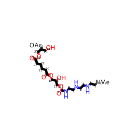 CNCCNCCNCCNC(=O)OCC(O)COC(=O)CCCCC(=O)OCC(CO)OC(C)=O